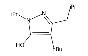 CCCCc1c(CC(C)C)nn(C(C)C)c1O